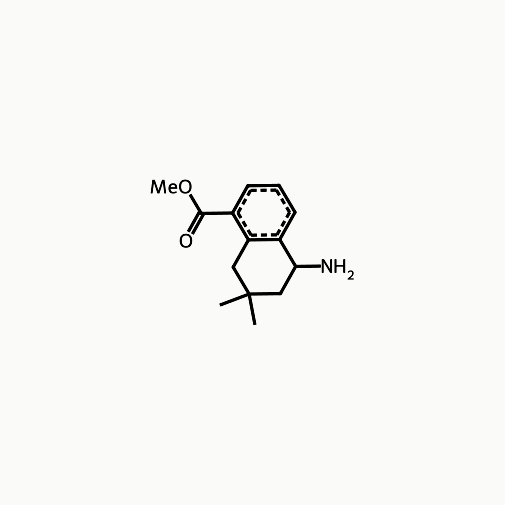 COC(=O)c1cccc2c1CC(C)(C)CC2N